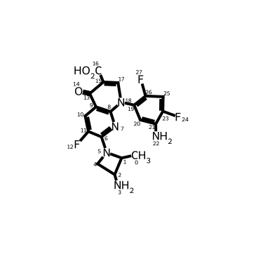 CC1C(N)CN1c1nc2c(cc1F)c(=O)c(C(=O)O)cn2-c1cc(N)c(F)cc1F